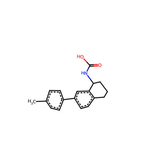 Cc1ccc(-c2ccc3c(c2)C(NC(=O)O)CCC3)cc1